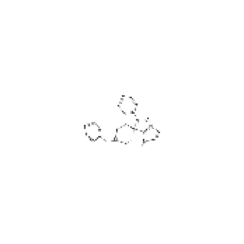 CC(=O)N(c1ccccc1)C1(c2nccn2C)CCN(Cc2ccccc2)CC1